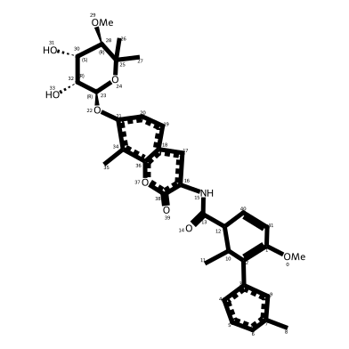 COC1=C(c2cccc(C)c2)C(C)C(C(=O)Nc2cc3ccc(O[C@@H]4OC(C)(C)[C@H](OC)[C@@H](O)[C@H]4O)c(C)c3oc2=O)C=C1